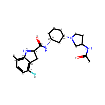 CC(=O)NC1CCN([C@H]2CCC[C@@H](NC(=O)C3Cc4c(F)ccc(C)c4N3)C2)C1